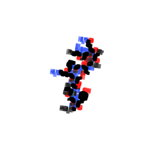 CC[C@H](C)[C@H](NC(=O)[C@H](CC(C)C)NC(=O)[C@H](CCC(N)=O)NC(=O)[C@@H](NC(=O)[C@@H](N)CC(C)C)[C@@H](C)O)C(=O)N[C@H](C(=O)NCC(=O)N1CCC[C@H]1C(=O)N[C@@H](CCCCN)C(=O)N[C@@H](C)C(=O)N[C@H](C(=O)N[C@@H](CCC(=O)O)C(=O)N[C@@H](C)C(=O)N[C@@H](Cc1ccc(O)cc1)C(=O)NCC(=O)O)C(C)C)[C@@H](C)O